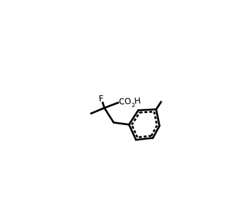 Cc1cccc(CC(C)(F)C(=O)O)c1